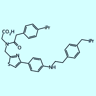 CC(C)Cc1ccc(CCNc2ccc(-c3csc(CN(CC(=O)O)C(=O)Cc4ccc(C(C)C)cc4)n3)cc2)cc1